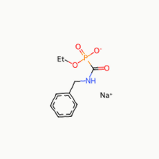 CCOP(=O)([O-])C(=O)NCc1ccccc1.[Na+]